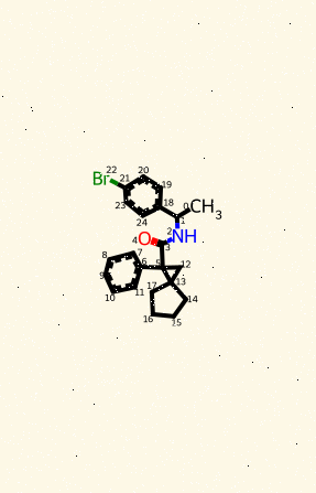 CC(NC(=O)C1(c2ccccc2)CC12CCCC2)c1ccc(Br)cc1